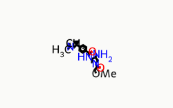 COCC(=O)N1CC(N)C(NC(=O)c2ccc(C3(CN(C)C)CC3)cc2)C1